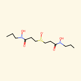 CCCN(O)C(=O)CC[S+]([O-])CCC(=O)N(O)CCC